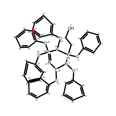 OCC[PH]1(Oc2ccccc2)N(Oc2ccccc2)P(Oc2ccccc2)N=P(Oc2ccccc2)(Oc2ccccc2)N1Oc1ccccc1